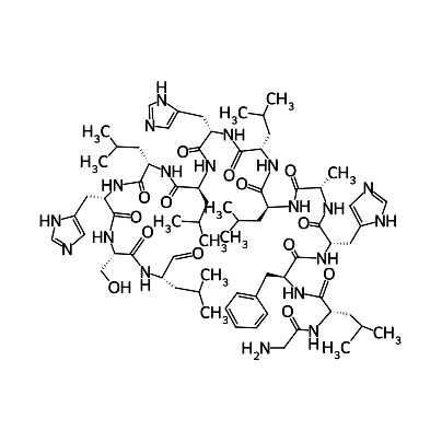 CC(C)C[C@@H](C=O)NC(=O)[C@H](CO)NC(=O)[C@H](Cc1cnc[nH]1)NC(=O)[C@H](CC(C)C)NC(=O)[C@H](CC(C)C)NC(=O)[C@H](Cc1cnc[nH]1)NC(=O)[C@H](CC(C)C)NC(=O)[C@H](CC(C)C)NC(=O)[C@H](C)NC(=O)[C@H](Cc1cnc[nH]1)NC(=O)[C@H](Cc1ccccc1)NC(=O)[C@H](CC(C)C)NC(=O)CN